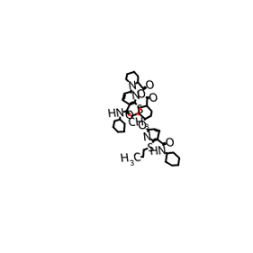 CCCSc1nc(OC2CCC(C(=O)OC(=O)C3CCCCN3c3ccc(C(=O)NC4CCCCC4)c(SCCC)n3)CC2)ccc1C(=O)NC1CCCCC1